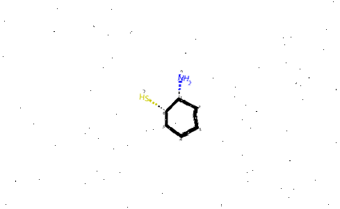 N[C@@H]1CCCC[C@@H]1S